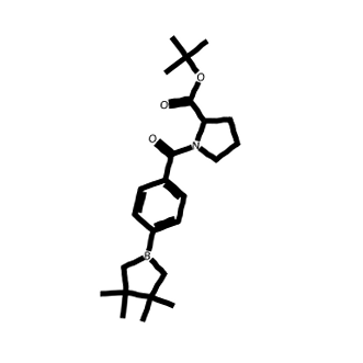 CC(C)(C)OC(=O)C1CCCN1C(=O)c1ccc(B2CC(C)(C)C(C)(C)C2)cc1